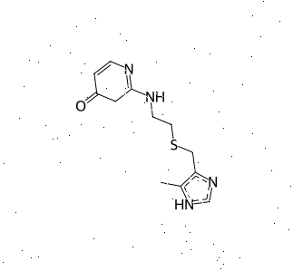 Cc1[nH]cnc1CSCCNC1=NC=CC(=O)C1